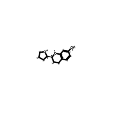 Oc1ccc2c(c1)O[C@H](C1CCCO1)CC2